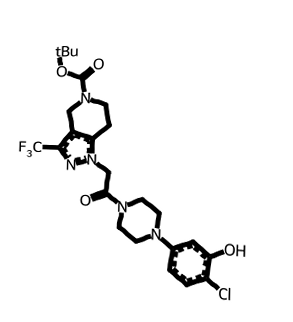 CC(C)(C)OC(=O)N1CCc2c(c(C(F)(F)F)nn2CC(=O)N2CCN(c3ccc(Cl)c(O)c3)CC2)C1